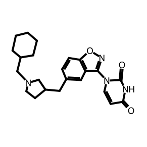 O=c1ccn(-c2noc3ccc(CC4CCN(CC5CCCCC5)C4)cc23)c(=O)[nH]1